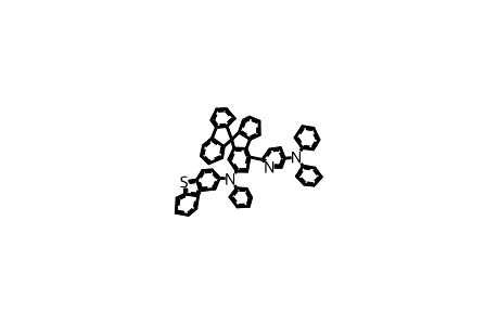 c1ccc(N(c2ccccc2)c2ccc(-c3cc(N(c4ccccc4)c4ccc5sc6ccccc6c5c4)cc4c3-c3ccccc3C43c4ccccc4-c4ccccc43)nc2)cc1